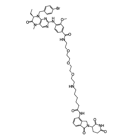 CC[C@@H]1C(=O)N(C)c2cnc(Nc3ccc(C(=O)NCCOCCOCCOCCNCCCCCC(=O)Nc4cccc5c4CN(C4CCC(=O)NC4=O)C5=O)cc3OC)nc2N1Cc1ccc(Br)cc1